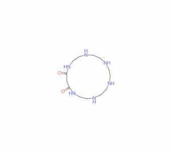 O=C1CC(=O)NCCNCCNCCNCCNCCN1